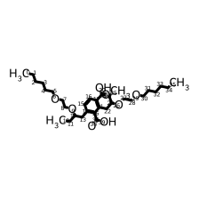 CCCCCCOCCOC(CC)Cc1ccc(C(=O)O)c(CC(CC)OCCOCCCCCC)c1C(=O)O